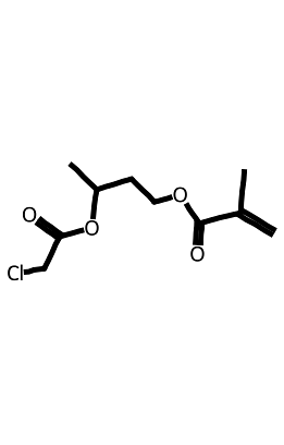 C=C(C)C(=O)OCCC(C)OC(=O)CCl